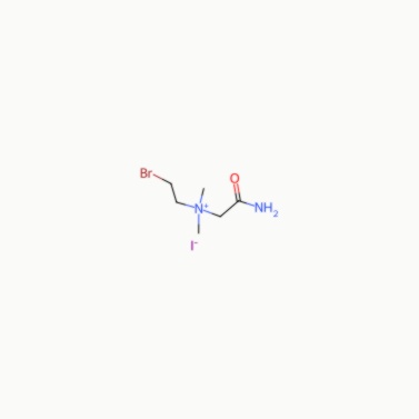 C[N+](C)(CCBr)CC(N)=O.[I-]